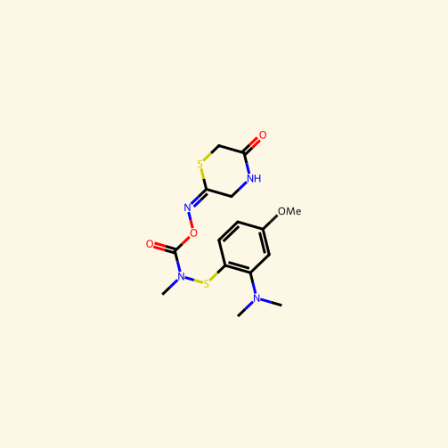 COc1ccc(SN(C)C(=O)ON=C2CNC(=O)CS2)c(N(C)C)c1